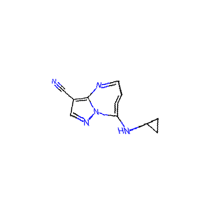 N#Cc1cnn2c(NC3CC3)ccnc12